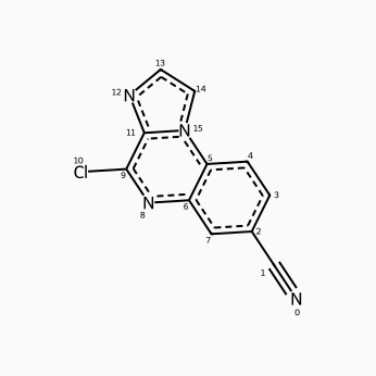 N#Cc1ccc2c(c1)nc(Cl)c1nccn12